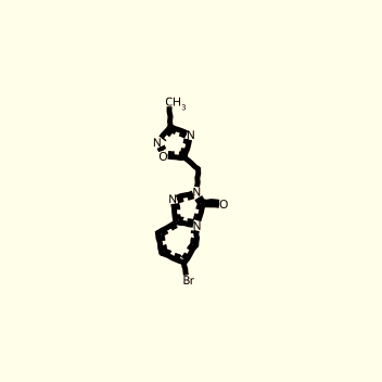 Cc1noc(Cn2nc3ccc(Br)cn3c2=O)n1